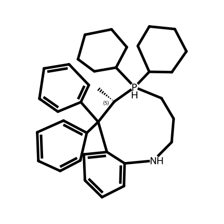 C[C@H]1C(c2ccccc2)(c2ccccc2)c2ccccc2NCCC[PH]1(C1CCCCC1)C1CCCCC1